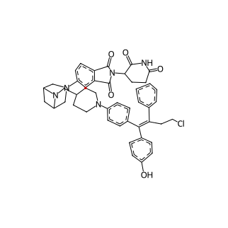 O=C1CCC(N2C(=O)c3ccc(N4CC5CC(C4)N5CC4CCN(c5ccc(C(=C(CCCl)c6ccccc6)c6ccc(O)cc6)cc5)CC4)cc3C2=O)C(=O)N1